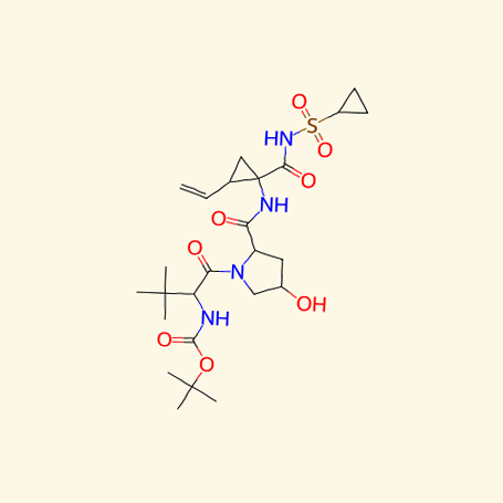 C=CC1CC1(NC(=O)C1CC(O)CN1C(=O)C(NC(=O)OC(C)(C)C)C(C)(C)C)C(=O)NS(=O)(=O)C1CC1